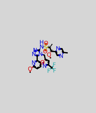 COc1cccc(-c2nnc(NS(=O)(=O)[C@@H](C)[C@H](OC)c3cnc(C)cn3)n2Cc2cc(C(F)(F)F)no2)n1